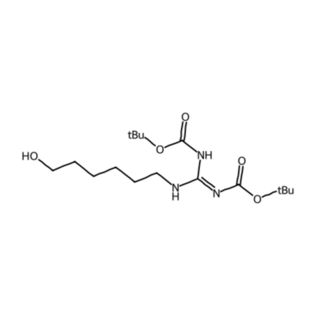 CC(C)(C)OC(=O)N=C(NCCCCCCO)NC(=O)OC(C)(C)C